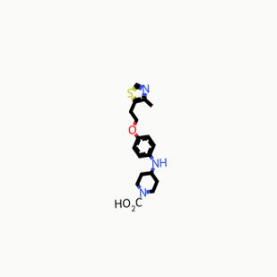 Cc1ncsc1CCOc1ccc(NC2CCN(C(=O)O)CC2)cc1